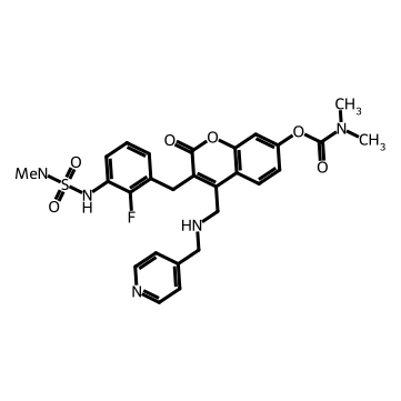 CNS(=O)(=O)Nc1cccc(Cc2c(CNCc3ccncc3)c3ccc(OC(=O)N(C)C)cc3oc2=O)c1F